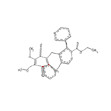 CCNC(=O)c1ccc(-c2ccccc2)c(CC2=C(C)C(=O)C(OC)=C(OC)C2=O)c1-c1cccnc1